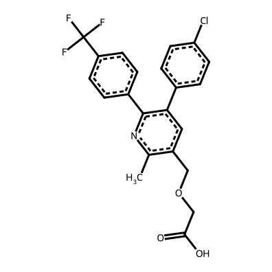 Cc1nc(-c2ccc(C(F)(F)F)cc2)c(-c2ccc(Cl)cc2)cc1COCC(=O)O